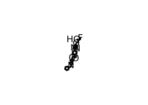 C[C@@H]1CN(c2ncc(OCC(O)CF)cn2)C[C@H](C)N1C(=O)OC1CC2(C1)CN(Cc1ccccc1)C2